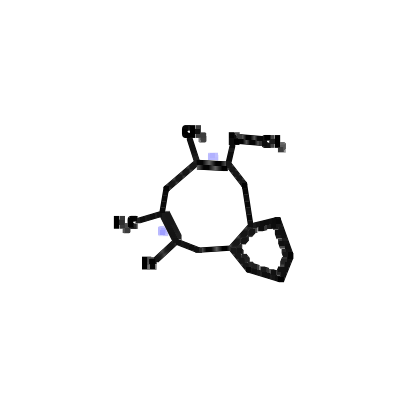 C=N/C1=C(\C)C/C(C)=C(/CC)Cc2ccccc2C1